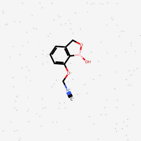 [C-]#[N+]COc1cccc2c1B(O)OC2